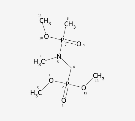 COP(=O)(CN(C)P(C)(=O)OC)OC